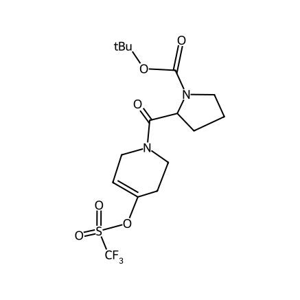 CC(C)(C)OC(=O)N1CCCC1C(=O)N1CC=C(OS(=O)(=O)C(F)(F)F)CC1